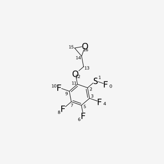 FSc1c(F)c(F)c(F)c(F)c1OCC1CO1